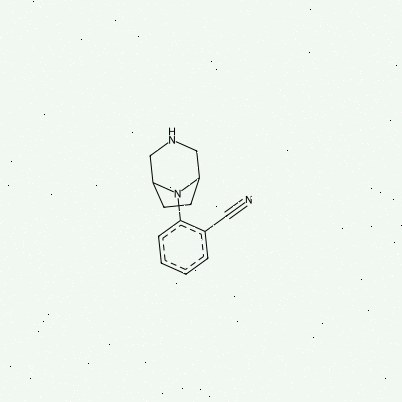 N#Cc1ccccc1N1C2CCC1CNC2